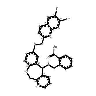 O=C(O)c1ccccc1CSC1c2cc(OCc3ccc4cc(F)c(F)cc4n3)ccc2OCc2ncccc21